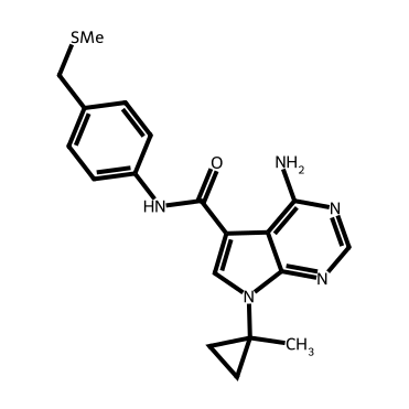 CSCc1ccc(NC(=O)c2cn(C3(C)CC3)c3ncnc(N)c23)cc1